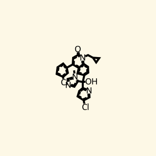 Cn1cncc1C(O)(c1ccc2c(c1)c(-c1cccc(Cl)c1)cc(=O)n2CC1CC1)c1ccc(Cl)cn1